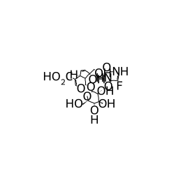 O=C(O)C1=CO[C@@H](O[C@@H]2O[C@H](CO)[C@@H](O)[C@H](O)[C@H]2O)C2[C@@H]1C=C[C@]2(O)CO.O=c1[nH]cc(F)c(=O)[nH]1